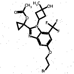 CC(=O)OC1(c2nc3cc(OCCBr)cc(C(F)(F)F)c3n2C2CC(C)(O)C2)CC1